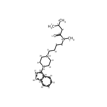 CC(C)CC(=O)N(C)CCCCN1CCN(c2nsc3ccccc23)CC1